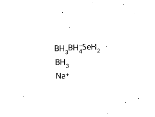 B.B.[BH4-].[Na+].[SeH2]